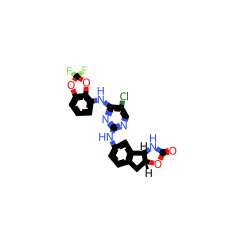 O=C1N[C@H]2c3cc(Nc4ncc(Cl)c(Nc5cccc6c5OC(F)(F)O6)n4)ccc3C[C@H]2O1